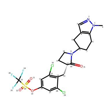 Cn1ncc2c1CCC(N1CC[C@@H](Cc3c(Cl)cc(OS(=O)(=O)C(F)(F)F)cc3Cl)C1=O)C2